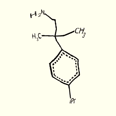 CC(C)c1ccc(C(C)(C)CN)cc1